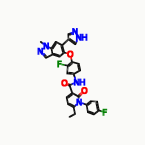 CCc1ccc(C(=O)Nc2ccc(Oc3cc4cnn(C)c4cc3-c3cn[nH]c3)c(F)c2)c(=O)n1-c1ccc(F)cc1